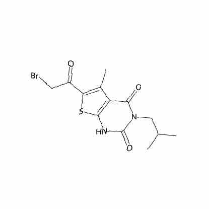 Cc1c(C(=O)CBr)sc2[nH]c(=O)n(CC(C)C)c(=O)c12